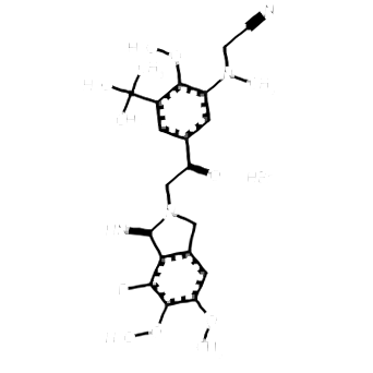 Br.COc1cc2c(c(F)c1OC)C(=N)N(CC(=O)c1cc(N(C)CC#N)c(OC)c(C(C)(C)C)c1)C2